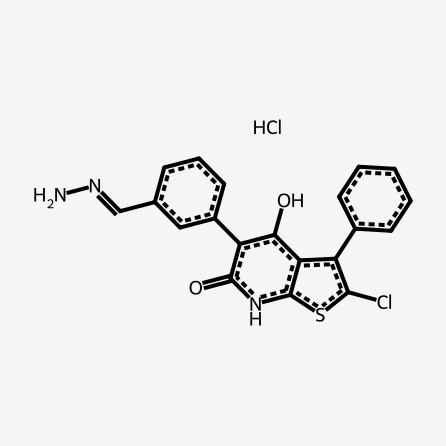 Cl.NN=Cc1cccc(-c2c(O)c3c(-c4ccccc4)c(Cl)sc3[nH]c2=O)c1